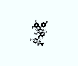 CC(=O)N(C(=O)[C@@H](N)[C@@H](c1ccc(F)cc1)c1cc(F)cc(F)c1)c1cncc(F)c1CC[C@H]1CNCCN1S(=O)(=O)C1CC1